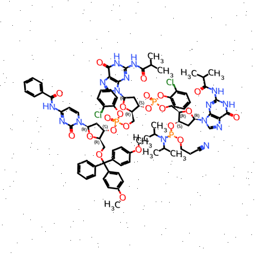 COc1ccc(C(OC[C@H]2O[C@@H](n3ccc(NC(=O)c4ccccc4)nc3=O)C[C@@H]2OP(=O)(OC[C@H]2O[C@@H](n3cnc4c(=O)[nH]c(NC(=O)C(C)C)nc43)C[C@@H]2OP(=O)(OC[C@H]2O[C@@H](n3cnc4c(=O)[nH]c(NC(=O)C(C)C)nc43)C[C@@H]2OP(OCCC#N)N(C(C)C)C(C)C)Oc2ccccc2Cl)Oc2ccccc2Cl)(c2ccccc2)c2ccc(OC)cc2)cc1